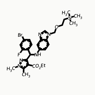 CCOC(=O)c1c(C(Nc2ccc3c(c2)ncn3COCC[Si](C)(C)C)c2ccc(Br)cc2F)nn(C)c1C